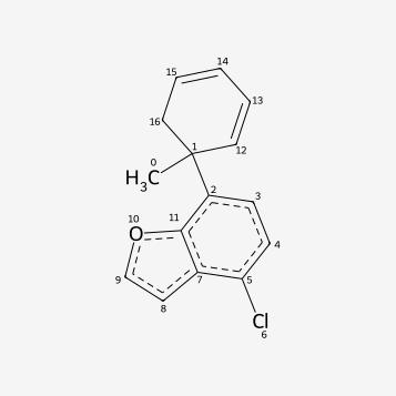 CC1(c2ccc(Cl)c3ccoc23)C=CC=CC1